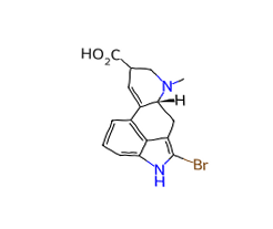 CN1CC(C(=O)O)C=C2c3cccc4[nH]c(Br)c(c34)C[C@H]21